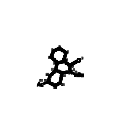 CCCCn1c(=O)c2ccccc2c2cc(C(C)=O)ccc21